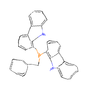 c1ccc(CP(c2cccc3c2[nH]c2ccccc23)c2cccc3c2[nH]c2ccccc23)cc1